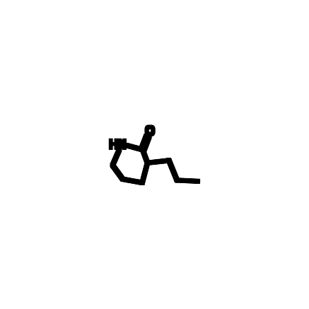 CCCC1CCCNC1=O